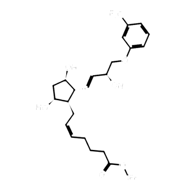 CC(C)OC(=O)CCC/C=C\C[C@@H]1[C@@H](/C=C/[C@H](O)COc2cccc(C(F)(F)F)c2)[C@H](O)C[C@@H]1O